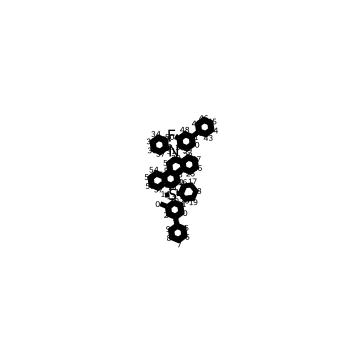 Cc1cc(-c2ccccc2)ccc1S(C)(C1=CCCC=C1)c1cc2c3ccccc3c(N(c3ccccc3)c3ccc(-c4ccccc4)cc3F)cc2c2ccccc12